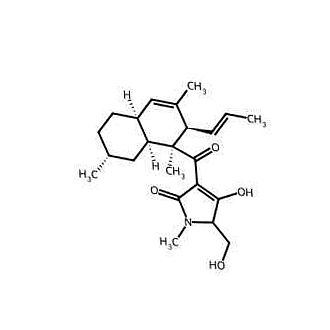 C/C=C/[C@@H]1C(C)=C[C@@H]2CC[C@@H](C)C[C@@H]2[C@]1(C)C(=O)C1=C(O)C(CO)N(C)C1=O